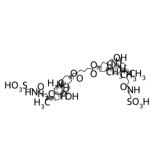 C[C@H](CCC(=O)NCCS(=O)(=O)O)[C@H]1CC[C@H]2[C@@H]3[C@@H](O)CC4C[C@H](OC(=O)CCCC(=O)O[C@@H]5CC[C@@]6(C)C(C5)C[C@H](O)[C@H]5[C@@H]7CC[C@H]([C@@H](C)CCC(=O)NCCS(=O)(=O)O)[C@@]7(C)CC[C@@H]56)CC[C@]4(C)[C@H]3CC[C@]12C